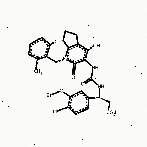 CCOc1cc([C@H](CC(=O)O)NC(=O)Nc2c(O)c3c(n(Cc4c(C)cccc4Cl)c2=O)CCC3)ccc1Cl